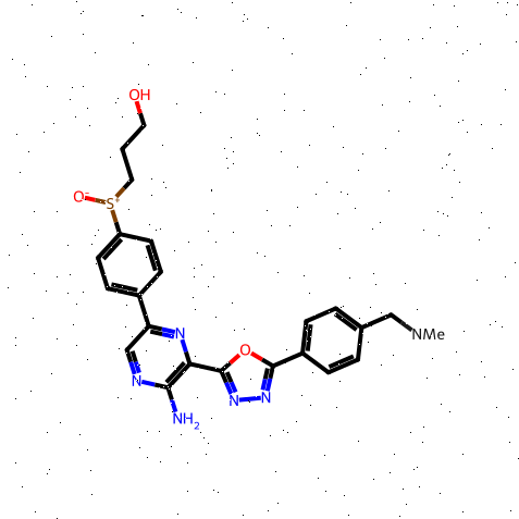 CNCc1ccc(-c2nnc(-c3nc(-c4ccc([S+]([O-])CCCO)cc4)cnc3N)o2)cc1